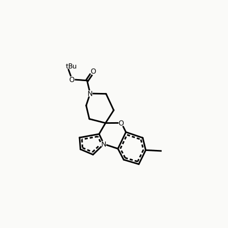 Cc1ccc2c(c1)OC1(CCN(C(=O)OC(C)(C)C)CC1)c1cccn1-2